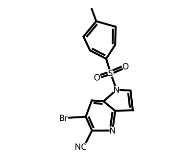 Cc1ccc(S(=O)(=O)n2ccc3nc(C#N)c(Br)cc32)cc1